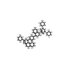 c1ccc(-c2cc(-c3ccccc3)nc(-c3ccc(-c4ccc(-c5cc(-c6ccccc6)nc6ccc7ccccc7c56)cc4)c4ccccc34)n2)cc1